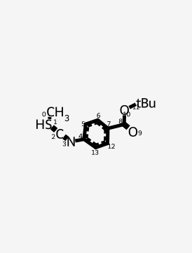 C[SH]=C=Nc1ccc(C(=O)OC(C)(C)C)cc1